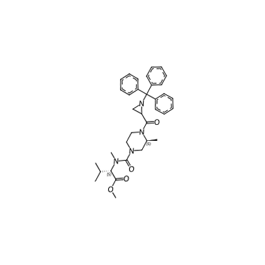 COC(=O)[C@H](C(C)C)N(C)C(=O)N1CCN(C(=O)C2CN2C(c2ccccc2)(c2ccccc2)c2ccccc2)[C@@H](C)C1